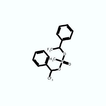 CP(=O)(OC(c1ccccc1)C(F)(F)F)OC(c1ccccc1)C(F)(F)F